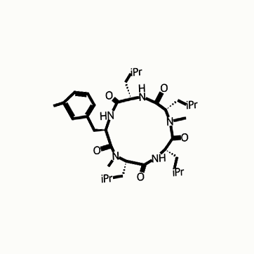 Cc1cccc(C[C@H]2NC(=O)[C@H](CC(C)C)NC(=O)[C@H](CC(C)C)N(C)C(=O)[C@H](CC(C)C)NC(=O)[C@H](CC(C)C)N(C)C2=O)c1